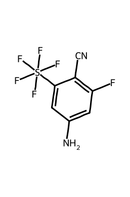 N#Cc1c(F)cc(N)cc1S(F)(F)(F)(F)F